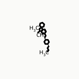 CCCC[C@H]1CC[C@H](CCc2ccc(C3(C(C)CCC)CCCCC3)cc2)CC1